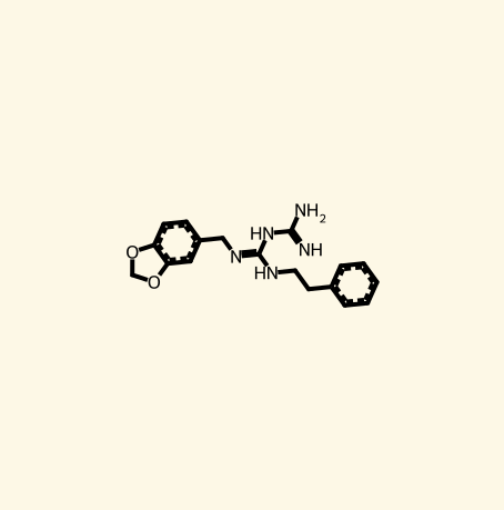 N=C(N)NC(=NCc1ccc2c(c1)OCO2)NCCc1ccccc1